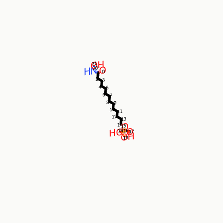 O=C(CCCCCCCCCCCCCOP(=O)(O)O)NO